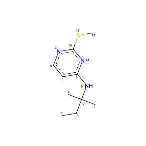 CCC(C)(C)Nc1ccnc(SC)n1